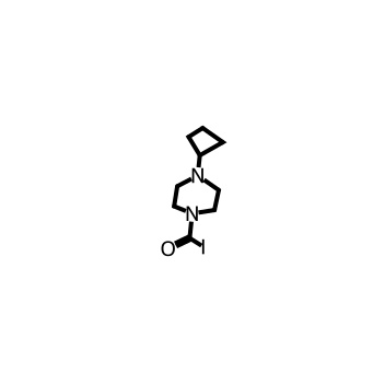 O=C(I)N1CCN(C2CCC2)CC1